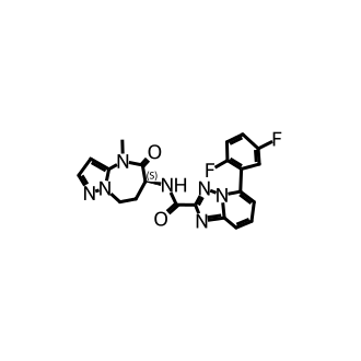 CN1C(=O)[C@@H](NC(=O)c2nc3cccc(-c4cc(F)ccc4F)n3n2)CCn2nccc21